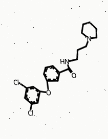 O=C(NCCCN1CCCCC1)c1cccc(Oc2cc(Cl)cc(Cl)c2)c1